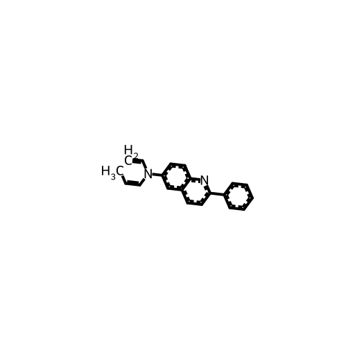 C=CN(/C=C\C)c1ccc2nc(-c3ccccc3)ccc2c1